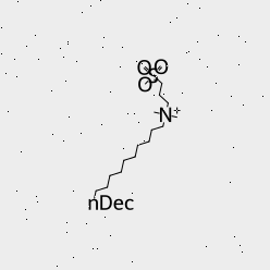 CCCCCCCCCCCCCCCCCCCC[N+](C)(C)CCCS(=O)(=O)[O-]